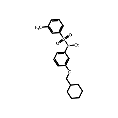 CCN(c1cccc(OCC2CCCCC2)c1)S(=O)(=O)c1cccc(C(F)(F)F)c1